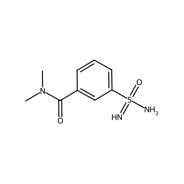 CN(C)C(=O)c1cccc(S(=N)(N)=O)c1